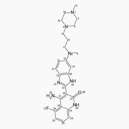 CN1CCN(CCCN(C)c2ccc3nc(-c4c(N)c5c(F)cccc5[nH]c4=O)[nH]c3c2)CC1